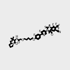 CC1CCCN1C(=O)C(NC(=O)COCCCCCOc1ccc(-c2ncc(N(C(=S)N(C)c3ccc(C#N)c(C(F)(F)F)c3F)C(C)(C)C=O)cc2F)cc1F)C(C)(C)C